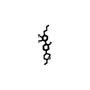 CCCCc1ccc(-c2ccc(C3CCC(CC)OC3)cc2F)c(F)c1F